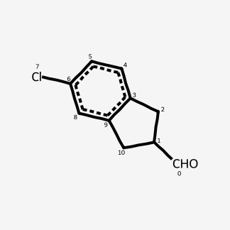 O=CC1Cc2ccc(Cl)cc2C1